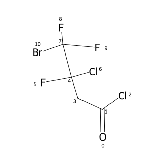 O=C(Cl)CC(F)(Cl)C(F)(F)Br